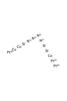 [Co].[Co].[Co].[N-3].[N-3].[N-3].[N-3].[Pt+4].[Pt+4].[Pt+4].[Si].[Si].[Si]